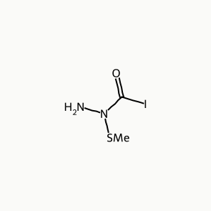 CSN(N)C(=O)I